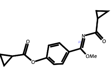 CO/C(=N\C(=O)C1CC1)c1ccc(OC(=O)C2CC2)cc1